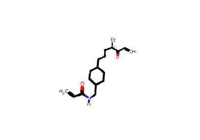 C=CC(=O)[C@H](CC)CCCC1CCC(CN(CC)C(=O)C=C)CC1